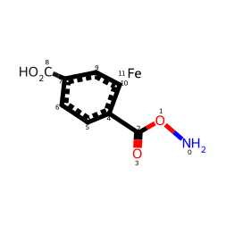 NOC(=O)c1ccc(C(=O)O)cc1.[Fe]